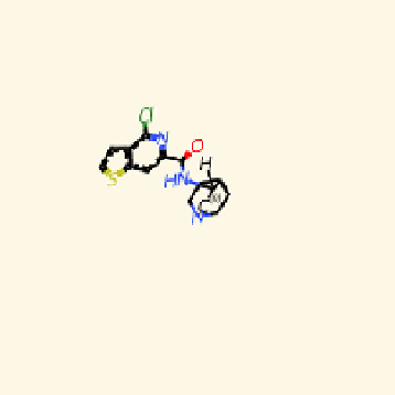 O=C(N[C@H]1CN2CCC1CC2)c1cc2sccc2c(Cl)n1